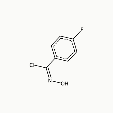 O/N=C(/Cl)c1ccc(F)cc1